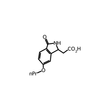 CCCOc1ccc2c(c1)C(CC(=O)O)NC2=O